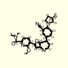 COc1nc(C(=O)N(C)C)ccc1-c1cc2nccc(-c3ccc(N4CC[C@@H](F)C4)c(C#N)c3)c2o1